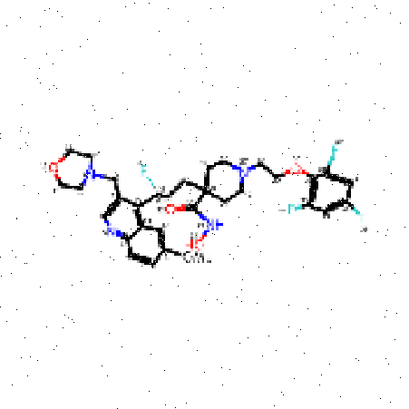 COc1ccc2ncc(CN3CCOCC3)c([C@H](F)CCC3(C(=O)NO)CCN(CCOc4c(F)cc(F)cc4F)CC3)c2c1